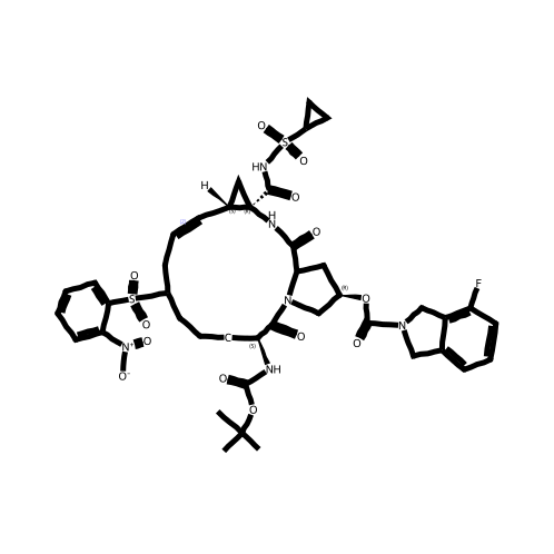 CC(C)(C)OC(=O)N[C@H]1CCCC(S(=O)(=O)c2ccccc2[N+](=O)[O-])C/C=C\[C@@H]2C[C@@]2(C(=O)NS(=O)(=O)C2CC2)NC(=O)C2C[C@@H](OC(=O)N3Cc4cccc(F)c4C3)CN2C1=O